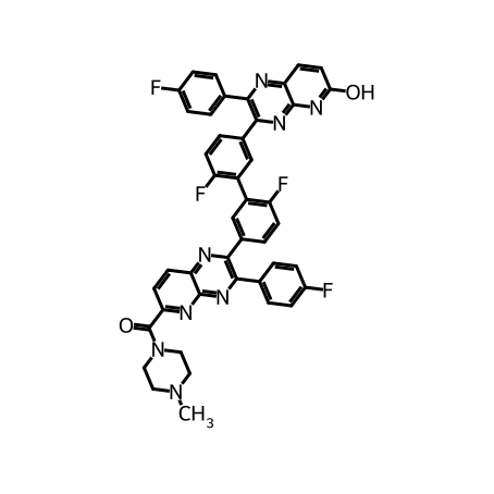 CN1CCN(C(=O)c2ccc3nc(-c4ccc(F)c(-c5cc(-c6nc7nc(O)ccc7nc6-c6ccc(F)cc6)ccc5F)c4)c(-c4ccc(F)cc4)nc3n2)CC1